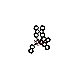 c1ccc2c(c1)-c1ccc(-c3nc(-c4ccc5ccccc5c4)nc(-c4ccc5ccccc5c4)n3)cc1C21c2ccccc2-c2cc3c4ccccc4c4ccccc4c3cc21